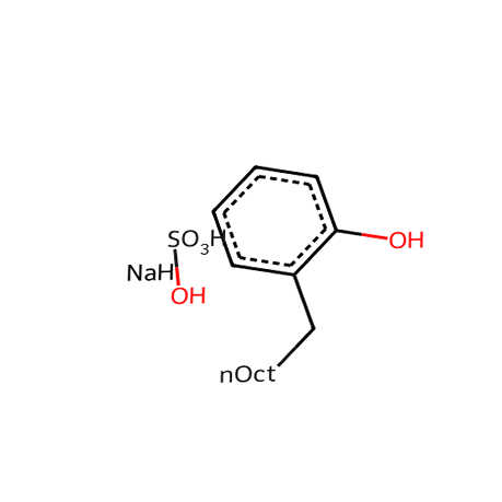 CCCCCCCCCc1ccccc1O.O=S(=O)(O)O.[NaH]